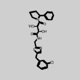 O=C(NCc1ncc(Cc2cccc(Cl)c2)s1)[C@H](O)[C@@H](O)C(=O)N1CCCC1c1ccccc1